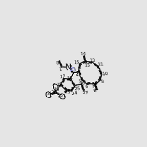 C=C/N=C(/c1ccc(=C)ccccc(=C)c1)c1cc2oc(=O)oc2cc1C=C